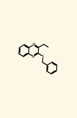 CCc1nc2ccccc2nc1SCc1ccccc1